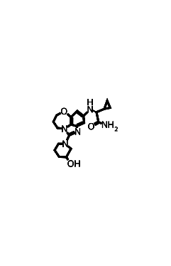 NC(=O)[C@@H](Nc1cc2c3c(c1)nc(N1CCCC(O)C1)n3CCCO2)C1CC1